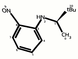 C[C@@H](Nc1ccccc1N=O)C(C)(C)C